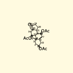 CC(=O)O[C@H]1CC[C@@]2(C)C(=C[C@H](OC(C)=O)C3C2[C@H](OC(C)=O)C[C@]2(C)C(=O)CCC32)C1